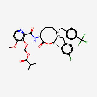 COc1ccnc(C(=O)N[C@H]2CCC[C@H](Cc3ccc(C(F)(F)F)cc3)[C@@H](Cc3ccc(F)cc3)[C@H](C)OC2=O)c1OCOC(=O)C(C)C